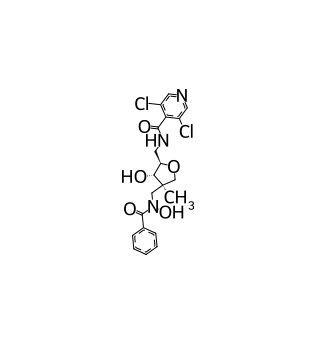 C[C@@]1(CN(O)C(=O)c2ccccc2)CO[C@H](CNC(=O)c2c(Cl)cncc2Cl)[C@H]1O